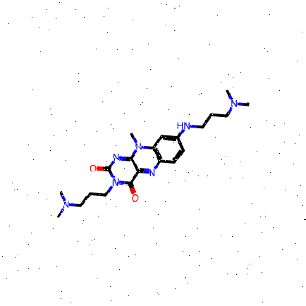 CN(C)CCCNc1ccc2nc3c(=O)n(CCCN(C)C)c(=O)nc-3n(C)c2c1